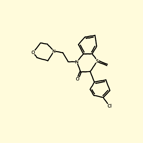 C=S1c2ccccc2N(CCN2CCOCC2)C(=O)C1c1ccc(Cl)cc1